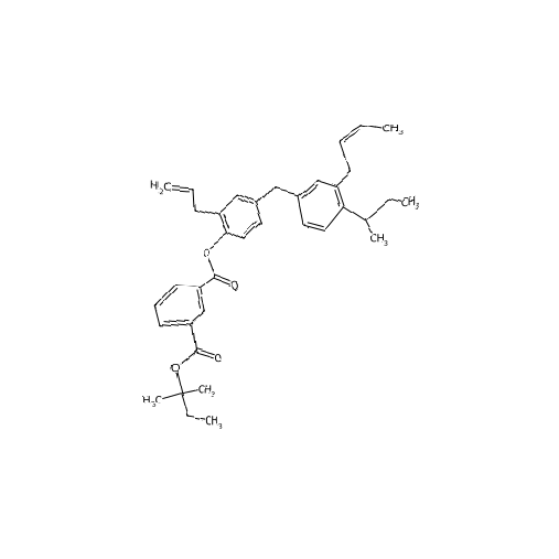 C=CCc1cc(Cc2ccc(C(C)CC)c(C/C=C\C)c2)ccc1OC(=O)c1cccc(C(=O)OC(C)(C)CC)c1